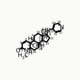 CN1C(=O)C=C[C@]2(C)[C@H]3CC[C@]4(C)[C@@H](Nc5ccncc5)CC[C@H]4[C@@H]3CC[C@@H]12